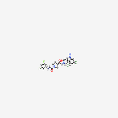 O=C(/C=C/c1cc(F)cc(F)c1)N1CCC(C(O)CN2CCC3(CC2)CNC2CC(Cl)=CC(Cl)=C23)CC1